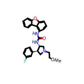 COCCN1C[C@@H](NC(=O)Nc2cccc3oc4ccccc4c23)[C@H](c2cccc(F)c2)C1